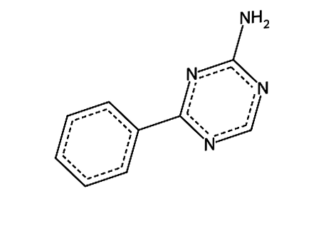 Nc1ncnc(-c2ccccc2)n1